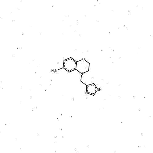 Nc1ccc2c(c1)N(Cc1c[nH]cn1)CCO2